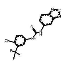 O=C(Nc1ccc(Cl)c(C(F)(F)F)c1)Nc1ccc2nonc2c1